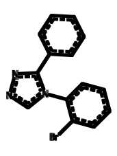 Brc1ccccc1-n1cnnc1-c1ccccc1